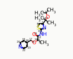 CC(C)OC(C)(C)c1csc(NC(=O)[C@@H](C)OCc2ccncc2)n1